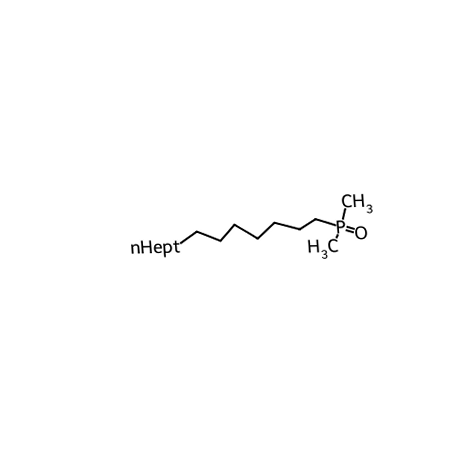 CCCCCCCCCCCCCCP(C)(C)=O